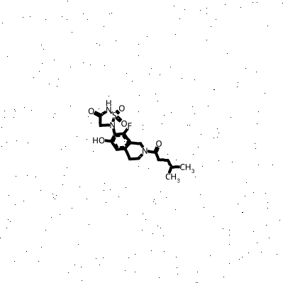 CC(C)CCC(=O)N1CCc2cc(O)c(N3CC(=O)NS3(=O)=O)c(F)c2C1